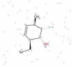 [2H]C[C@H]1C=C[C@@H](C)[C@H](F)[C@@H]1O